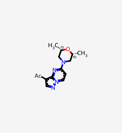 CC(=O)c1cnn2ccc(N3C[C@@H](C)O[C@@H](C)C3)nc12